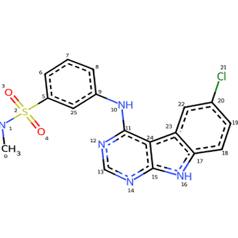 CNS(=O)(=O)c1cccc(Nc2ncnc3[nH]c4ccc(Cl)cc4c23)c1